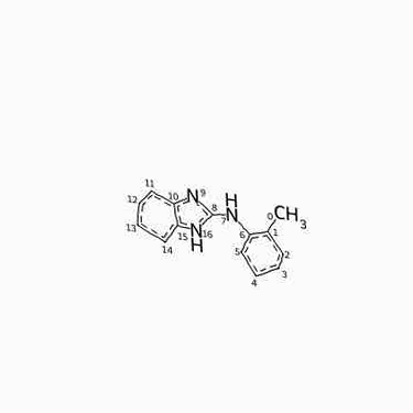 Cc1ccccc1Nc1nc2ccccc2[nH]1